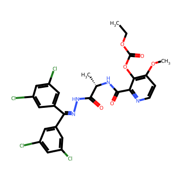 CCOC(=O)Oc1c(OC)ccnc1C(=O)N[C@@H](C)C(=O)NN=C(c1cc(Cl)cc(Cl)c1)c1cc(Cl)cc(Cl)c1